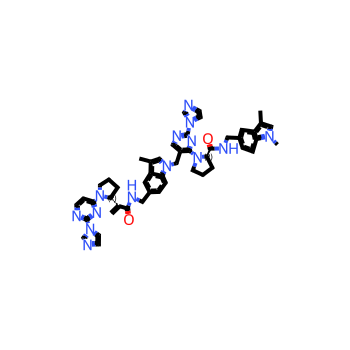 C=C(C(=O)NCc1ccc2c(c1)c(C)cn2Cc1cnc(-n2ccnc2)nc1N1CCC[C@@H]1C(=O)NCc1ccc2c(c1)c(C)cn2C)[C@H]1CCCN1c1ccnc(-n2ccnc2)n1